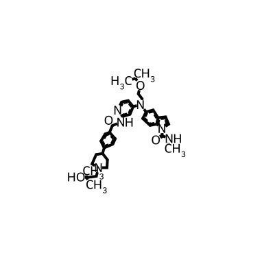 CNC(=O)n1ccc2cc(N(CCOC(C)C)c3ccnc(NC(=O)c4ccc(C5CCN(CC(C)(C)O)CC5)cc4)c3)ccc21